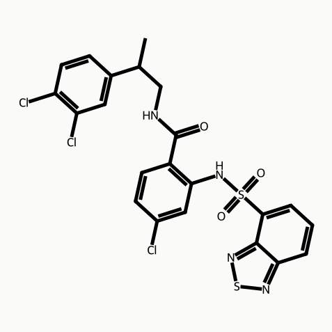 CC(CNC(=O)c1ccc(Cl)cc1NS(=O)(=O)c1cccc2nsnc12)c1ccc(Cl)c(Cl)c1